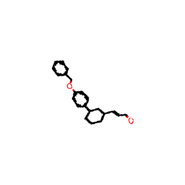 O=CC=CC1CCCC(c2ccc(OCc3ccccc3)cc2)C1